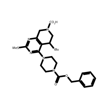 CSc1nc2c(c(N3CCN(C(=O)OCc4ccccc4)CC3)n1)C(C(C)(C)C)CN(C(=O)O)C2